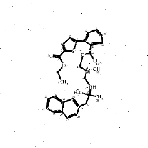 CCOC(=O)c1ccc(-c2ccccc2C(C)OC[C@H](O)CNC(C)(C)Cc2ccc3ccccc3c2)s1